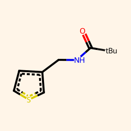 CC(C)(C)C(=O)NCc1ccsc1